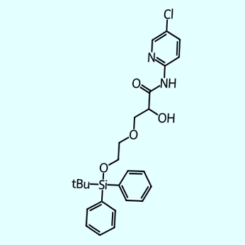 CC(C)(C)[Si](OCCOCC(O)C(=O)Nc1ccc(Cl)cn1)(c1ccccc1)c1ccccc1